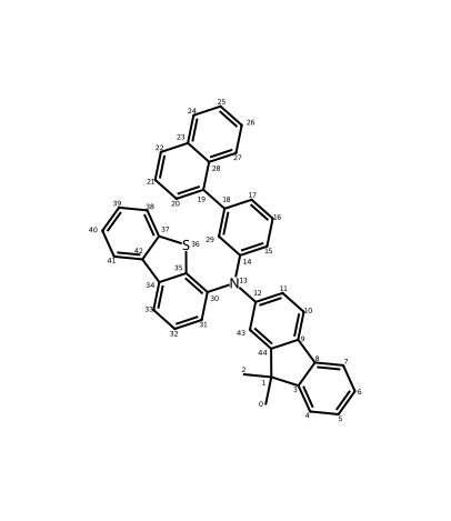 CC1(C)c2ccccc2-c2ccc(N(c3cccc(-c4cccc5ccccc45)c3)c3cccc4c3sc3ccccc34)cc21